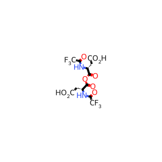 O=C(O)C[C@@H](NC(=O)C(F)(F)F)C(=O)OC(=O)[C@@H](CC(=O)O)NC(=O)C(F)(F)F